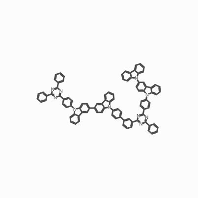 c1ccc(-c2nc(-c3ccccc3)nc(-c3ccc(-n4c5ccccc5c5cc(-c6ccc7c(c6)c6ccccc6n7-c6ccc(-c7cccc(-c8nc(-c9ccccc9)nc(-c9ccc(-n%10c%11ccccc%11c%11cc(-n%12c%13ccccc%13c%13ccccc%13%12)ccc%11%10)cc9)n8)c7)cc6)ccc54)cc3)n2)cc1